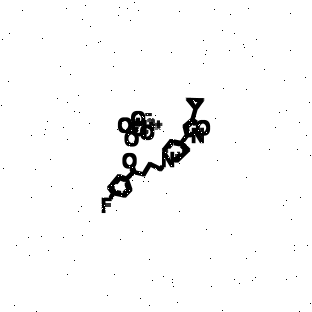 O=C(CCC[n+]1ccc(-c2cc(C3CC3)on2)cc1)c1ccc(F)cc1.[O-][Cl+3]([O-])([O-])[O-]